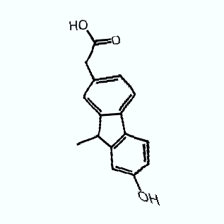 CC1c2cc(O)ccc2-c2ccc(CC(=O)O)cc21